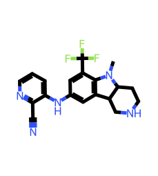 CN1c2c(cc(Nc3cccnc3C#N)cc2C(F)(F)F)C2CNCCC21